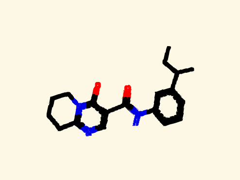 CCC(C)c1cccc(NC(=O)c2cnc3n(c2=O)CCCC3)c1